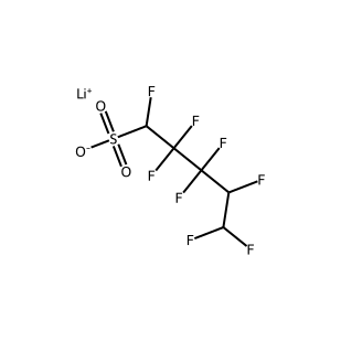 O=S(=O)([O-])C(F)C(F)(F)C(F)(F)C(F)C(F)F.[Li+]